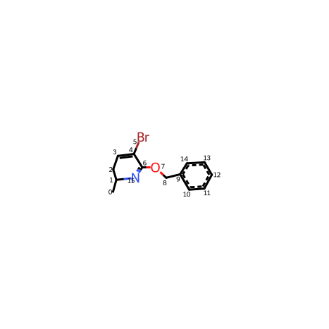 CC1CC=C(Br)C(OCc2ccccc2)=N1